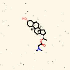 CC(OC(=O)CN(C)C)[C@H]1CC[C@H]2[C@@H]3CC=C4C[C@@H](O)CC[C@]4(C)[C@H]3CC[C@]12C